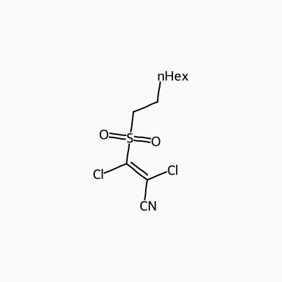 CCCCCCCCS(=O)(=O)C(Cl)=C(Cl)C#N